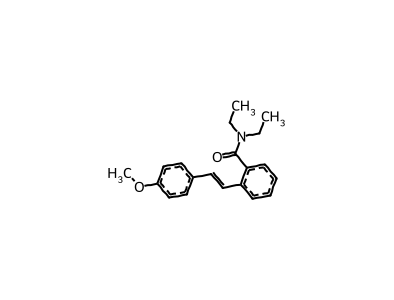 CCN(CC)C(=O)c1ccccc1C=Cc1ccc(OC)cc1